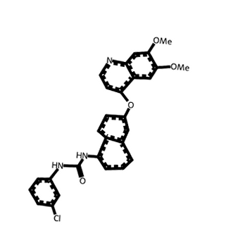 COc1cc2nccc(Oc3ccc4c(NC(=O)Nc5cccc(Cl)c5)cccc4c3)c2cc1OC